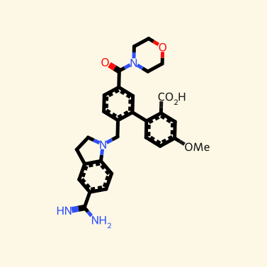 COc1ccc(-c2cc(C(=O)N3CCOCC3)ccc2CN2CCc3cc(C(=N)N)ccc32)c(C(=O)O)c1